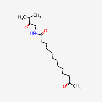 CC(=O)CCCCCCCCCCC(=O)NCC(=O)C(C)C